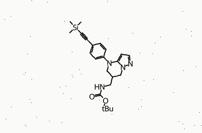 CC(C)(C)OC(=O)NCC1CN(c2ccc(C#C[Si](C)(C)C)cc2)c2ccnn2C1